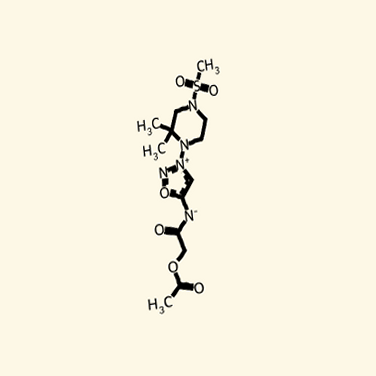 CC(=O)OCC(=O)[N-]c1c[n+](N2CCN(S(C)(=O)=O)CC2(C)C)no1